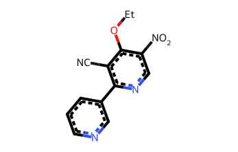 CCOc1c([N+](=O)[O-])cnc(-c2cccnc2)c1C#N